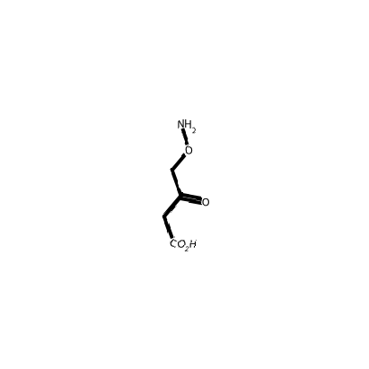 NOCC(=O)CC(=O)O